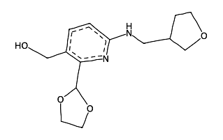 OCc1ccc(NCC2CCOC2)nc1C1OCCO1